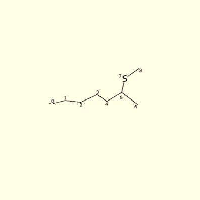 [CH2]CCCCC(C)SC